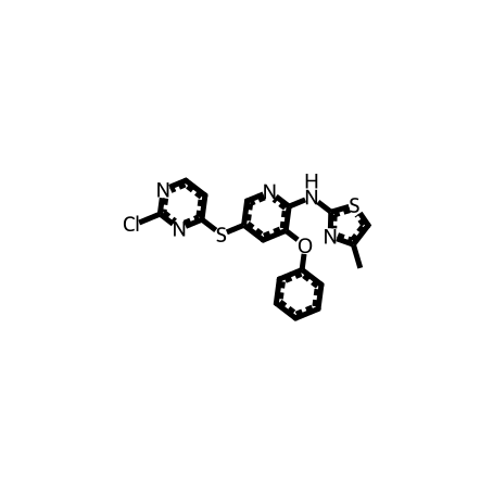 Cc1csc(Nc2ncc(Sc3ccnc(Cl)n3)cc2Oc2ccccc2)n1